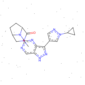 CN1CC2CCC(C1=O)N2c1ncc2[nH]nc(-c3cnn(C4CC4)c3)c2n1